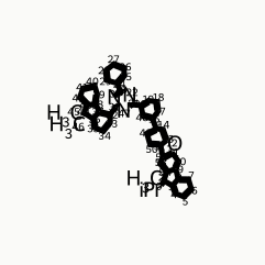 CC(C)C1(C)c2ccccc2-c2cc3oc4cc(-c5cccc(-c6nc(-c7ccccc7)nc(-c7cccc8c7-c7ccccc7C8(C)C)n6)c5)ccc4c3cc21